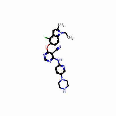 CCn1c(C)cc2c(F)c(Oc3ncnc(Nc4ccc(N5CCNCC5)cn4)c3C#N)ccc21